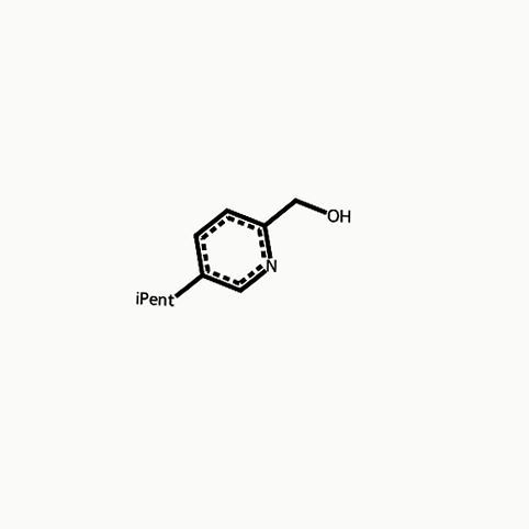 CCCC(C)c1ccc(CO)nc1